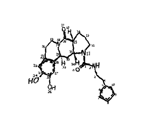 O=C(NCCc1ccccc1)N1CCC[C@H]2C(=O)N3CCc4cc(O)c(O)cc4[C@@H]3C[C@H]21